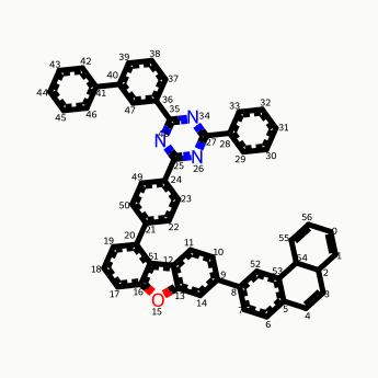 C1=CC2C=Cc3ccc(-c4ccc5c(c4)oc4cccc(-c6ccc(-c7nc(-c8ccccc8)nc(-c8cccc(-c9ccccc9)c8)n7)cc6)c45)cc3C2C=C1